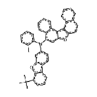 Cc1ccccc1N(c1ccc2c(c1)oc1c(C(C)(C)C)cccc12)c1cc2oc3ccc4ccccc4c3c2c2ccccc12